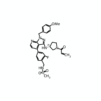 C=CC(=O)N1CC[C@@H](Nc2nn(Cc3ccc(OC)cc3)c3nccc(-c4ccc(CNS(C)(=O)=O)c(F)c4)c23)C1